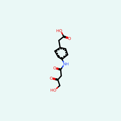 O=C(O)Cc1ccc(NC(=O)CC(=O)CO)cc1